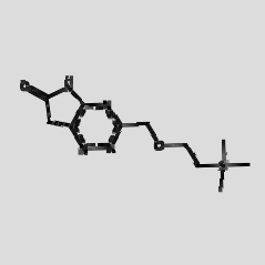 C[Si](C)(C)CCOCc1nnc2c(n1)NC(=O)C2